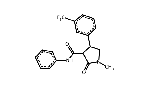 CN1CC(c2cccc(C(F)(F)F)c2)C(C(=O)Nc2ccccc2)C1=O